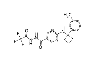 Cc1cccc(C2(Nc3ncc(C(=O)NNC(=O)C(F)(F)F)cn3)CCC2)c1